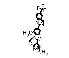 Cc1cc(-c2ncc3cc(C(F)(F)F)ccc3n2)ccc1N1CCOc2nn(C)nc2C1=O